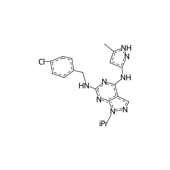 Cc1cc(Nc2nc(NCc3ccc(Cl)cc3)nc3c2cnn3C(C)C)n[nH]1